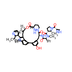 CCn1c(-c2cccnc2[C@H](C)OC)c2c3cc(ccc31)-c1cc(O)cc(c1)C[C@H](NC(=O)C(C(C)C)N(C)C(=O)[C@@H]1CCN(C(=O)[C@@H]3CN3)[C@@H]1C)C(=O)N1CCC[C@H](N1)C(=O)OCC(C)(C)C2